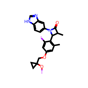 Cc1cc(OCC2(OI)CC2)cc(I)c1C1C(C)C(=O)N1c1ccc2[nH]cnc2c1